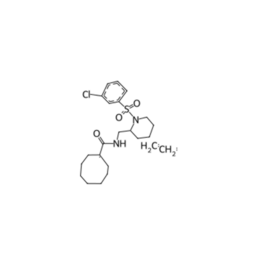 O=C(NCC1CCCCN1S(=O)(=O)c1cccc(Cl)c1)[C]1CCCCCCC1.[CH2].[CH2]